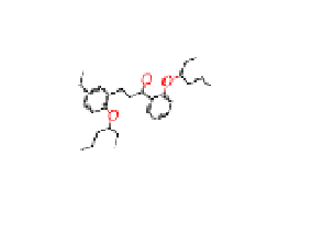 CCCC(CC)Oc1ccc(CC)cc1CCC(=O)c1ccccc1OC(CC)CCC